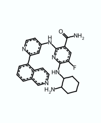 NC(=O)c1cc(F)c(NC2CCCCC2N)nc1Nc1ccnc(-c2cccc3cnccc23)c1